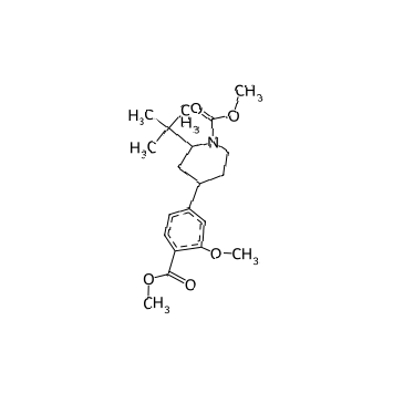 COC(=O)c1ccc(C2CCN(C(=O)OC)C(C(C)(C)C)C2)cc1OC